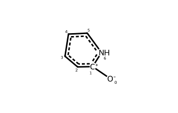 [O-][c+]1cccc[nH]1